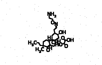 CCC[C@@]1(C)CC[C@H]2[C@@H](CC[C@@H]3C[C@@H](O)C(C/C=N\OCCN)C[C@@]32C)C1=O.O=C(O)C(=O)O